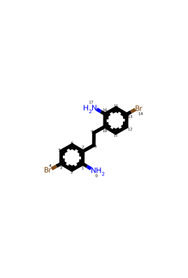 Nc1cc(Br)ccc1CCc1ccc(Br)cc1N